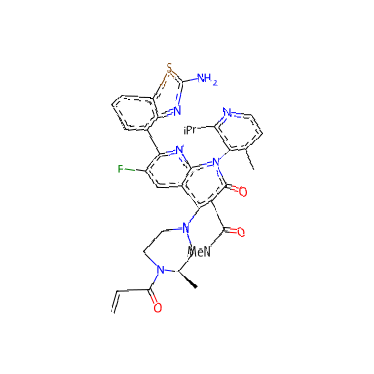 C=CC(=O)N1CCN(c2c(C(=O)NC)c(=O)n(-c3c(C)ccnc3C(C)C)c3nc(-c4cccc5sc(N)nc45)c(F)cc23)C[C@H]1C